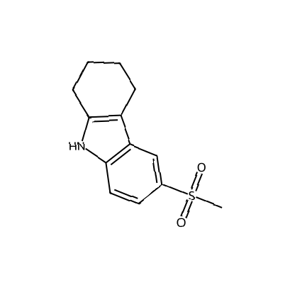 CS(=O)(=O)c1ccc2[nH]c3c(c2c1)CCCC3